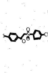 Cc1ccc(S(=O)(=O)CC(=O)c2ccc(Cl)cc2)cc1